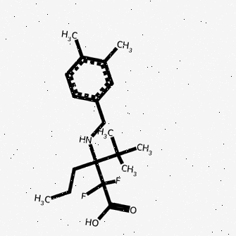 CCCC(NCc1ccc(C)c(C)c1)(C(C)(C)C)C(F)(F)C(=O)O